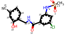 CS(=O)(=O)Nc1cc(Cl)cc(C(=O)NCc2ccc(C#N)cc2O)c1